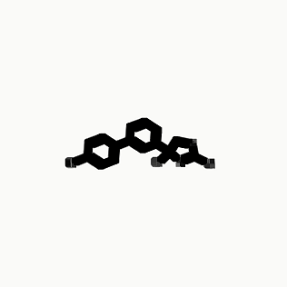 ClC1=NC(Cl)(c2cccc(-c3ccc(Cl)cc3)c2)C=N1